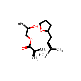 C=C(C)C(=O)OCC(O)CCC.CC(=CCC1CCCO1)C(=O)O